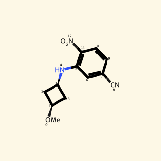 CO[C@H]1C[C@@H](Nc2cc(C#N)ccc2[N+](=O)[O-])C1